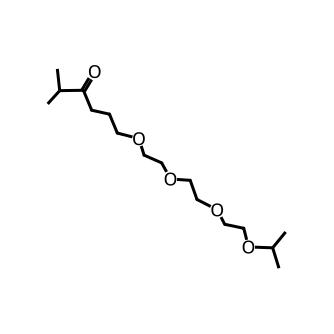 CC(C)OCCOCCOCCOCCCC(=O)C(C)C